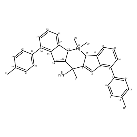 CCCC1(C)C2=Cc3c(-c4ccc(C)cc4)cccc3[CH]2[Hf]([CH3])([CH3])[CH]2C1=Cc1c(-c3ccc(C)cc3)cccc12